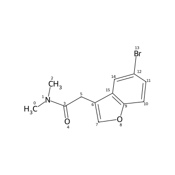 CN(C)C(=O)Cc1coc2ccc(Br)cc12